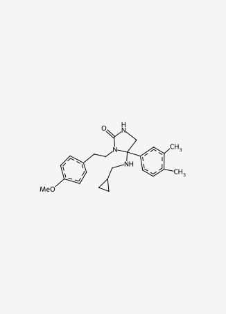 COc1ccc(CCN2C(=O)NCC2(NCC2CC2)c2ccc(C)c(C)c2)cc1